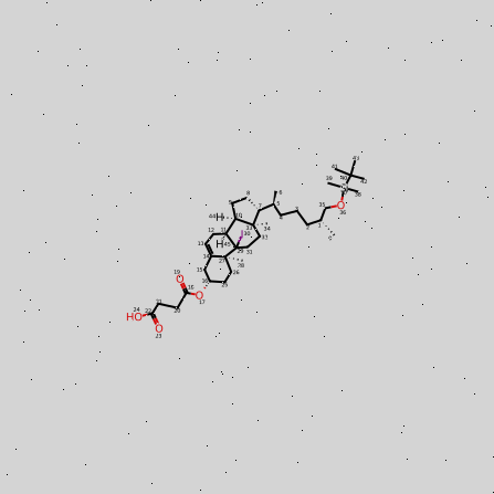 C[C@H](CCC[C@H](C)[C@H]1CC[C@@H]2[C@@H]3CC=C4C[C@@H](OC(=O)CCC(=O)O)CC[C@]4(C)C3(I)CC[C@]12C)CO[Si](C)(C)C(C)(C)C